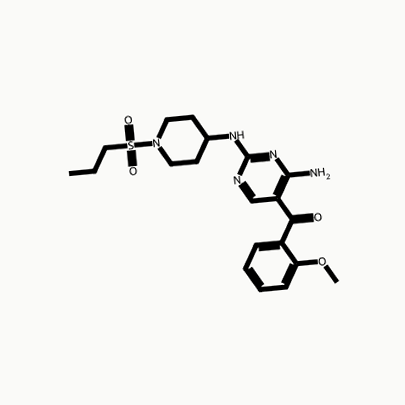 CCCS(=O)(=O)N1CCC(Nc2ncc(C(=O)c3ccccc3OC)c(N)n2)CC1